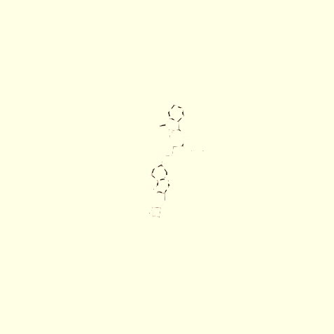 CC(C)(C)OC(=O)C(COc1ccc2nc(CC3CN(C(=O)O)C3)cn2c1)ON1C(=O)c2ccccc2C1=O